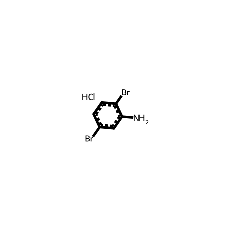 Cl.Nc1cc(Br)ccc1Br